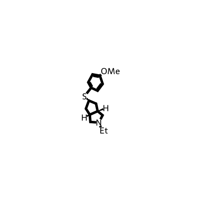 CCN1C[C@H]2C[C@H](Sc3ccc(OC)cc3)C[C@H]2C1